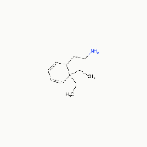 CCC1(CC)C=CC=CC1CCN